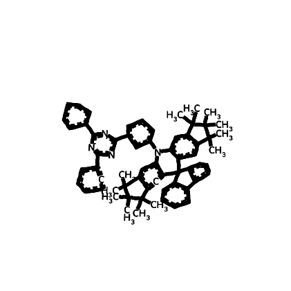 CC1(C)c2cc3c(cc2C(C)(C)C1(C)C)C1(c2ccccc2-c2ccccc21)c1cc2c(cc1N3c1cccc(-c3nc(-c4ccccc4)nc(-c4ccccc4)n3)c1)C(C)(C)C(C)(C)C2(C)C